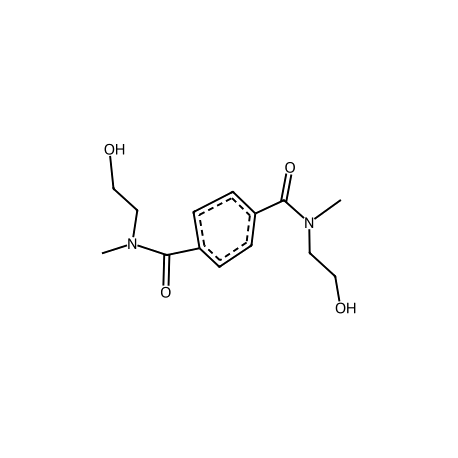 CN(CCO)C(=O)c1ccc(C(=O)N(C)CCO)cc1